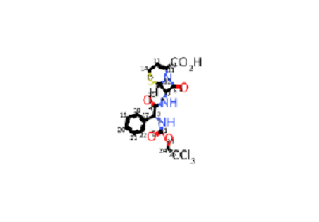 O=C(N[C@H](C(=O)N[C@@H]1C(=O)N2C(C(=O)O)=CCS[C@@H]12)c1ccccc1)OCC(Cl)(Cl)Cl